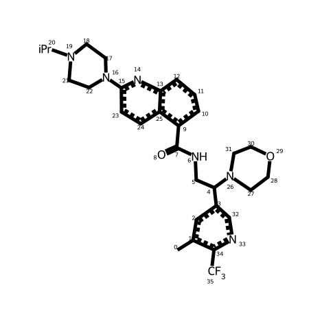 Cc1cc(C(CNC(=O)c2cccc3nc(N4CCN(C(C)C)CC4)ccc23)N2CCOCC2)cnc1C(F)(F)F